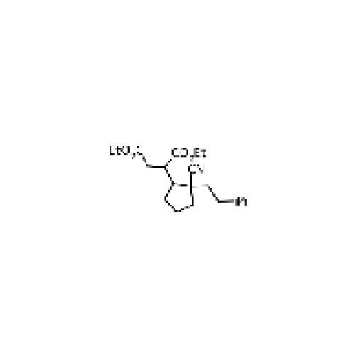 CCOC(=O)CC(C(=O)OCC)C1CCCC1(C#N)CCC(C)C